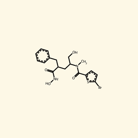 CN(C(=O)c1ccc(Br)s1)C(CO)CC(Cc1ccccc1)C(=O)NO